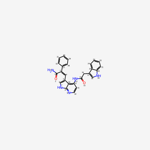 NC(=O)C(=Cc1c[nH]c2nccc(NC(=O)Cc3c[nH]c4ccccc34)c12)c1ccccc1